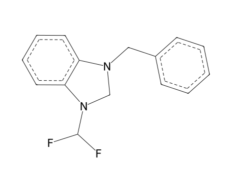 FC(F)N1CN(Cc2ccccc2)c2ccccc21